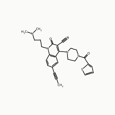 CC#Cc1ccc2c(c1)c(N1CCN(C(=O)c3cccs3)CC1)c(C#N)c(=O)n2CCCN(C)C